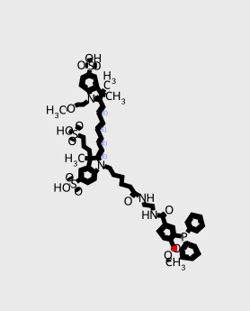 COCC[N+]1=C(/C=C/C=C/C=C/C=C2/N(CCCCCC(=O)NCCNC(=O)c3ccc(C(=O)OC)c(P(c4ccccc4)c4ccccc4)c3)c3ccc(S(=O)(=O)O)cc3C2(C)CCCS(=O)(=O)O)C(C)(C)c2cc(S(=O)(=O)O)ccc21